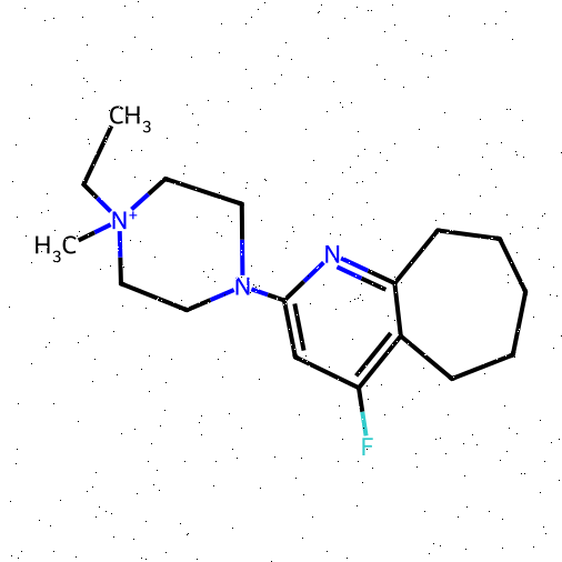 CC[N+]1(C)CCN(c2cc(F)c3c(n2)CCCCC3)CC1